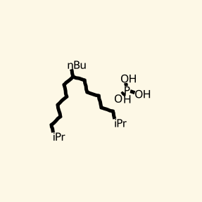 CCCCC(CCCCCC(C)C)CCCCCC(C)C.O=[PH](O)O